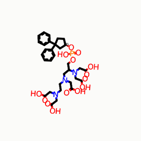 O=C(O)CN(CCN(CC(=O)O)CC(COP(=O)(O)O[C@@H]1CCC(c2ccccc2)(c2ccccc2)C1)N(CC(=O)O)CC(=O)O)CC(=O)O